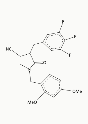 COc1ccc(CN2CC(C#N)C(Cc3cc(F)c(F)c(F)c3)C2=O)c(OC)c1